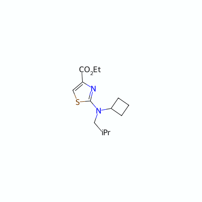 CCOC(=O)c1csc(N(CC(C)C)C2CCC2)n1